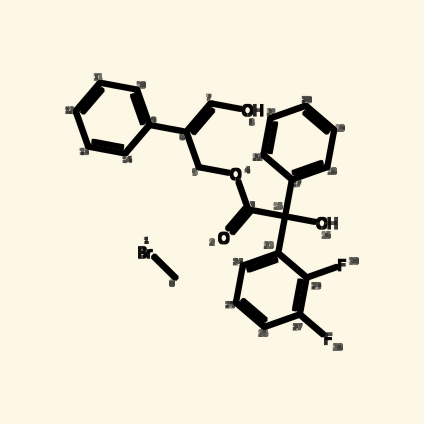 CBr.O=C(OCC(=CO)c1ccccc1)C(O)(c1ccccc1)c1cccc(F)c1F